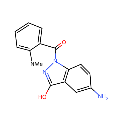 CNc1ccccc1C(=O)n1nc(O)c2cc(N)ccc21